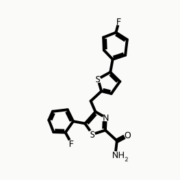 NC(=O)c1nc(Cc2ccc(-c3ccc(F)cc3)s2)c(-c2ccccc2F)s1